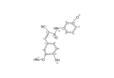 CCCCOc1cc(C=C(C#N)C(=O)Nc2cccc(Cl)c2)ccc1O